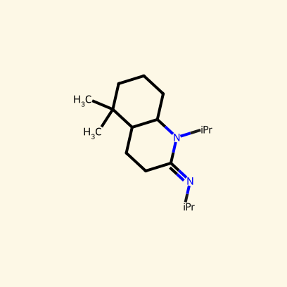 CC(C)/N=C1\CCC2C(CCCC2(C)C)N1C(C)C